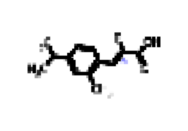 Cc1cc(C(C)C)ccc1/C=C(\F)C(=O)O